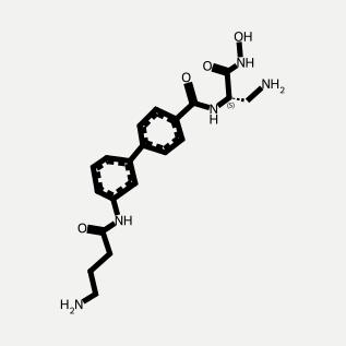 NCCCC(=O)Nc1cccc(-c2ccc(C(=O)N[C@@H](CN)C(=O)NO)cc2)c1